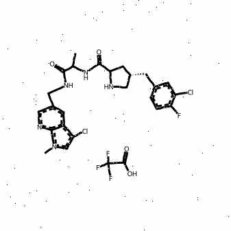 CC(NC(=O)C1C[C@H](Cc2ccc(F)c(Cl)c2)CN1)C(=O)NCc1cnc2c(c1)c(Cl)cn2C.O=C(O)C(F)(F)F